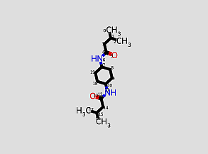 CC(C)CC(=O)NC1CCC(NC(=O)CC(C)C)CC1